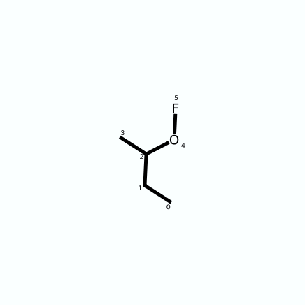 CCC(C)OF